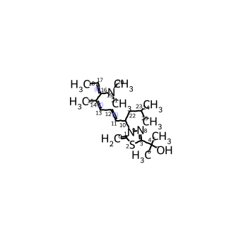 C=C1SC(C(C)(C)O)=NN1C(/C=C/C=C(C)\C(=C/C)N(C)C)CC(C)C